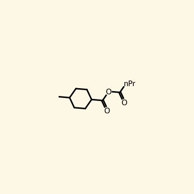 CCCC(=O)OC(=O)C1CCC(C)CC1